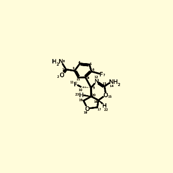 NC(=O)c1ccc(F)c([C@@]2(CF)N=C(N)O[C@@H]3COC[C@@H]32)c1